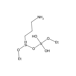 CCO[SiH](CCCN)O[Si](O)(O)OCC